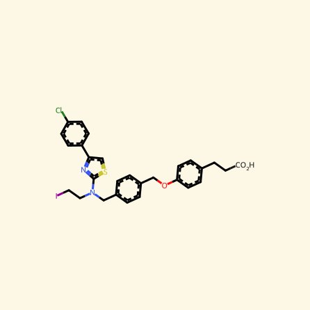 O=C(O)CCc1ccc(OCc2ccc(CN(CCI)c3nc(-c4ccc(Cl)cc4)cs3)cc2)cc1